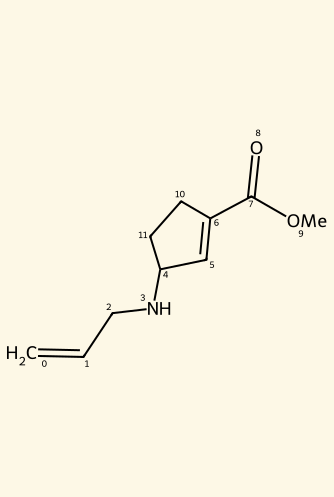 C=CCNC1C=C(C(=O)OC)CC1